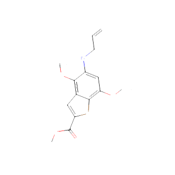 C=CCNc1cc(OC)c2sc(C(=O)OC)cc2c1OC